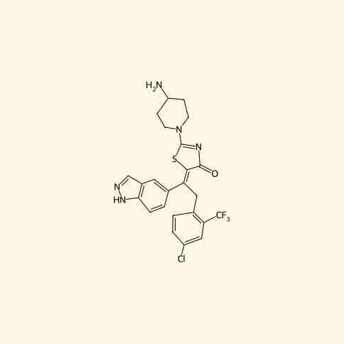 NC1CCN(C2=NC(=O)C(=C(Cc3ccc(Cl)cc3C(F)(F)F)c3ccc4[nH]ncc4c3)S2)CC1